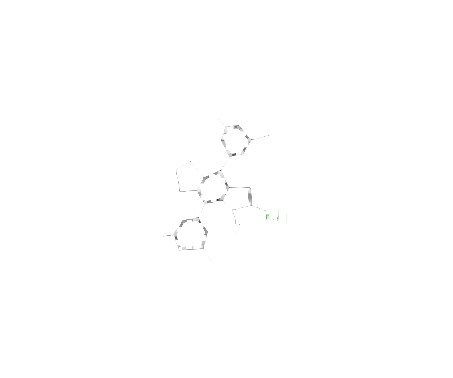 CC1=Cc2c(-c3cc(C)cc(C)c3)c3c(c(-c4cc(C)cc(C)c4)c2[CH]1[Zr])CCC3.Cl.Cl